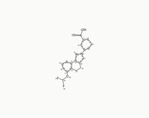 O=C(O)c1cccc(-n2cc3c(n2)-c2cccc(OC(F)F)c2CC3)c1